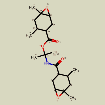 CC1CC2(C)OC2CC1C(=O)NC(C)(C)OC(=O)C1CC2OC2(C)CC1C